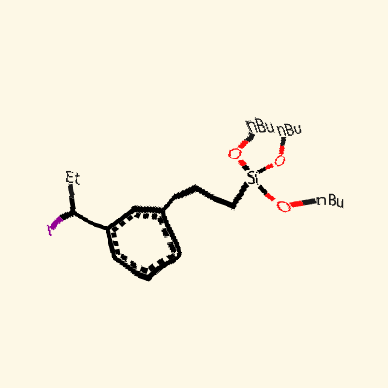 CCCCO[Si](CCc1cccc(C(I)CC)c1)(OCCCC)OCCCC